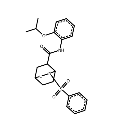 CC(C)Oc1ccccc1NC(=O)C1CC2CCC1N(S(=O)(=O)c1ccccc1)C2